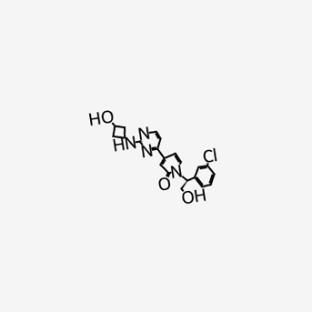 O=c1cc(-c2ccnc(NC3CC(O)C3)n2)ccn1[C@H](CO)c1cccc(Cl)c1